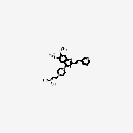 COc1cc2nc(/C=C/c3cccnc3)nc(N3CCN(CCP(O)O)CC3)c2cc1OC